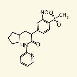 CS(=O)(=O)c1ccc(C(CC2CCCC2)C(=O)Nc2ccccn2)cc1N=O